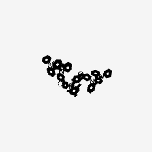 Cc1cc(C)c(B(c2ccc3oc4ccc(-n5c6ccccc6c6ccc7c(c8ccccc8n7-c7ccccc7)c65)cc4c3c2)c2ccc3oc4ccc(-n5c6ccccc6c6ccc7c(c8ccccc8n7-c7ccccc7)c65)cc4c3c2)c(C)c1